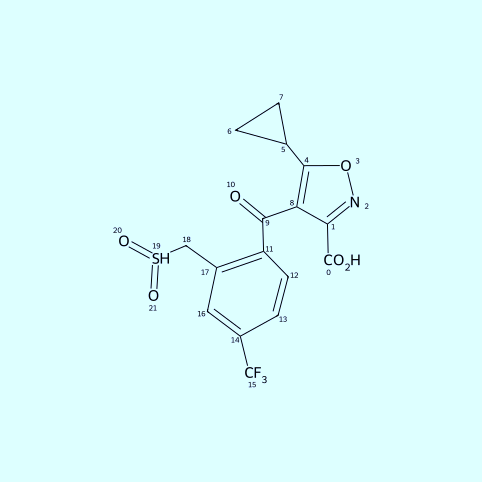 O=C(O)c1noc(C2CC2)c1C(=O)c1ccc(C(F)(F)F)cc1C[SH](=O)=O